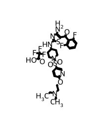 CCN(CC)CCOc1ccc(S(=O)(=O)N2CCC(Nc3nc(N)c(C(=O)c4c(F)cccc4F)s3)CC2)cn1.O=C(O)C(F)(F)F